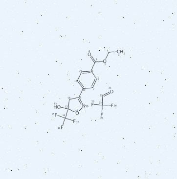 CCOC(=O)c1ccc(C2=NOC(O)(C(F)(F)F)C2)cc1.O=CC(F)(F)F